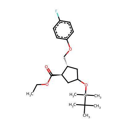 CCOC(=O)[C@@H]1CC(O[Si](C)(C)C(C)(C)C)C[C@H]1COc1ccc(F)cc1